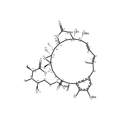 COc1cc2cc(c1Cl)N(C)C(=O)C[C@H](OC(=O)[C@H](C)N(C)[C@@H](CCSSC)C(F)(F)F)[C@]1(C)O[C@H]1[C@H](C)[C@@H]1C[C@@](O)(NC(=O)O1)[C@H](OC)/C=C/C=C(\C)C2